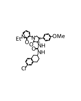 CCn1cccc(N2C[C@@H](c3ccc(OC)cc3)[C@H](NC(=O)NC3CCc4cc(Cl)ccc4C3)C2=O)c1=O